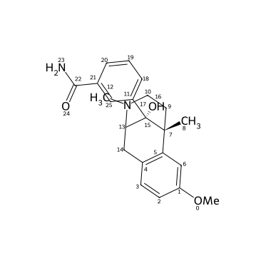 COc1ccc2c(c1)[C@@]1(C)CCN(C)C(C2)[C@@]1(O)c1cccc(C(N)=O)c1